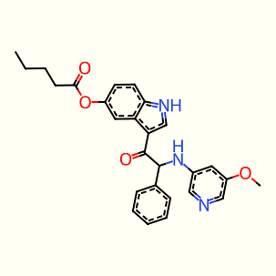 CCCCC(=O)Oc1ccc2[nH]cc(C(=O)C(Nc3cncc(OC)c3)c3ccccc3)c2c1